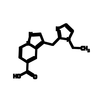 CCn1ccnc1Cc1cnn2ccc(C(=O)O)cc12